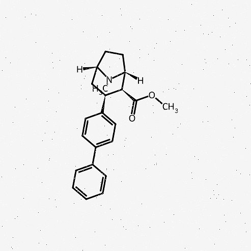 COC(=O)[C@H]1[C@@H](c2ccc(-c3ccccc3)cc2)C[C@@H]2CC[C@H]1N2C